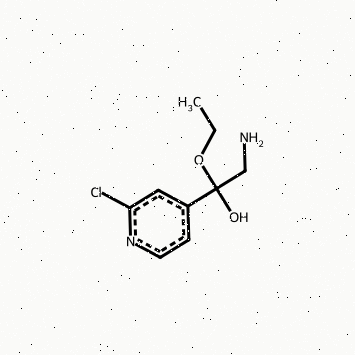 CCOC(O)(CN)c1ccnc(Cl)c1